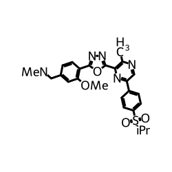 CNCc1ccc(-c2nnc(-c3nc(-c4ccc(S(=O)(=O)C(C)C)cc4)cnc3C)o2)c(OC)c1